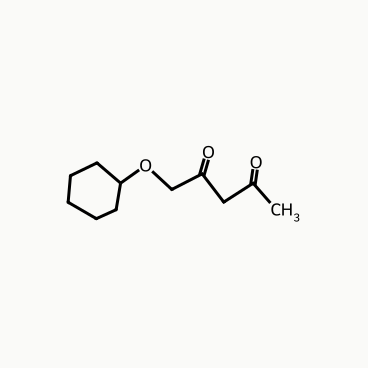 CC(=O)CC(=O)COC1CCCCC1